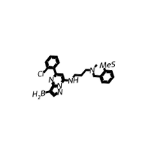 Bc1cnn2c(NCCCN(C)Cc3ccccc3SC)cc(-c3ccccc3Cl)nc12